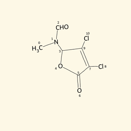 CN(C=O)C1OC(=O)C(Cl)=C1Cl